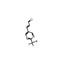 O=C/C=C/c1cnc(C(F)(F)F)nc1